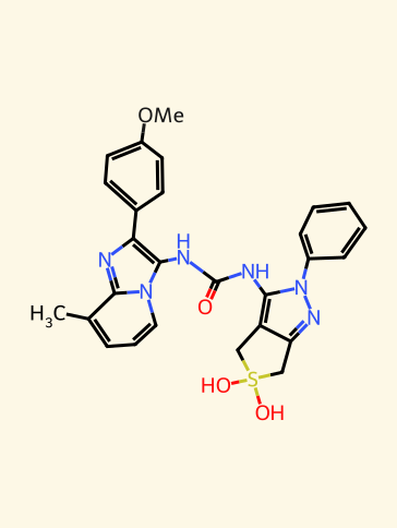 COc1ccc(-c2nc3c(C)cccn3c2NC(=O)Nc2c3c(nn2-c2ccccc2)CS(O)(O)C3)cc1